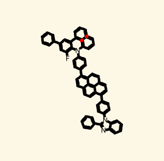 Fc1cc(-c2ccccc2)cc(-c2ccccc2)c1N(c1ccccc1)c1ccc(-c2ccc3ccc4c(-c5ccc(-n6c(-c7ccccc7)nc7ccccc76)cc5)ccc5ccc2c3c54)cc1